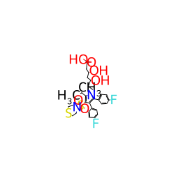 CC(C)c1c(S(=O)(=O)N2CCSCC2)c(-c2ccc(F)cc2)c(-c2ccc(F)cc2)n1CCC(O)CC(O)CC(=O)O